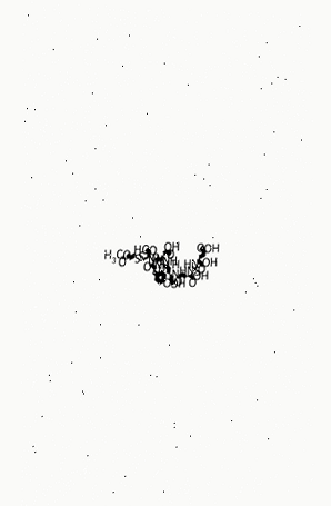 CC(=O)OCCSSC[C@H](NC(=O)[C@H](Cc1ccccc1)NC(=O)[C@H](CC(=O)O)NC(=O)CC[C@H](NC(=O)CC[C@H](NC(=S)N[C@@H](CCC(=O)O)C(=O)O)C(=O)O)C(=O)O)C(=O)O